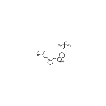 CNC(=O)CCN1CCC[C@@H]1Cc1c[nH]c2ccc(CCC(C)(C)O)cc12